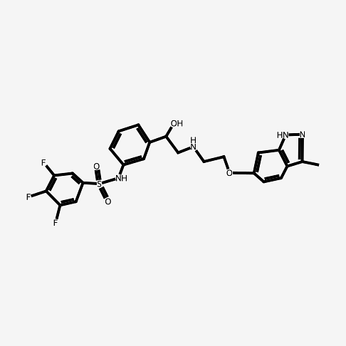 Cc1n[nH]c2cc(OCCNCC(O)c3cccc(NS(=O)(=O)c4cc(F)c(F)c(F)c4)c3)ccc12